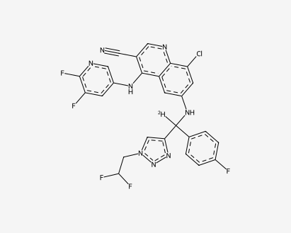 [2H]C(Nc1cc(Cl)c2ncc(C#N)c(Nc3cnc(F)c(F)c3)c2c1)(c1ccc(F)cc1)c1cn(CC(F)F)nn1